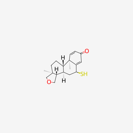 C[C@]12CC[C@H]3[C@@H](C[C@H](S)C4=CC(=O)C=C[C@@]43C)[C@@H]1COC2